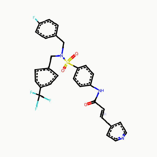 O=C(/C=C/c1ccncc1)Nc1ccc(S(=O)(=O)N(Cc2ccc(F)cc2)Cc2ccc(C(F)(F)F)cc2)cc1